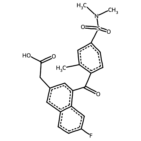 Cc1cc(S(=O)(=O)N(C)C)ccc1C(=O)c1cc(CC(=O)O)cc2ccc(F)cc12